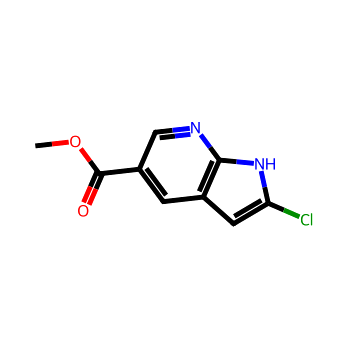 COC(=O)c1cnc2[nH]c(Cl)cc2c1